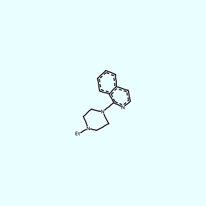 CCN1CCN(c2nccc3ccccc23)CC1